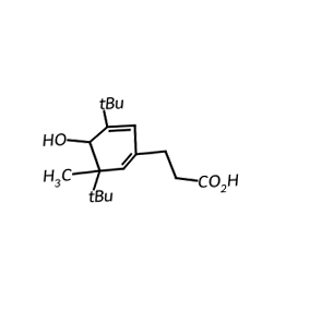 CC(C)(C)C1=CC(CCC(=O)O)=CC(C)(C(C)(C)C)C1O